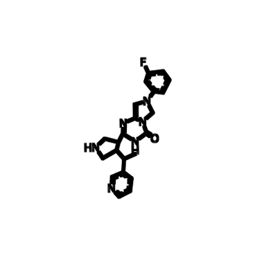 CC(c1cccnc1)C1CNCC1C1=NC2=CN(c3cccc(F)c3)CN2C(=O)N1